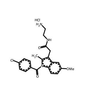 COc1ccc2c(c1)c(CC(=O)NCCN)c(C)n2C(=O)c1ccc(Cl)cc1.Cl